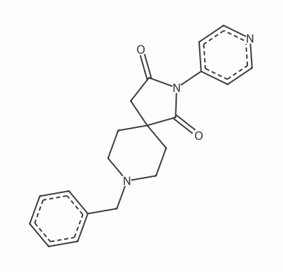 O=C1CC2(CCN(Cc3ccccc3)CC2)C(=O)N1c1ccncc1